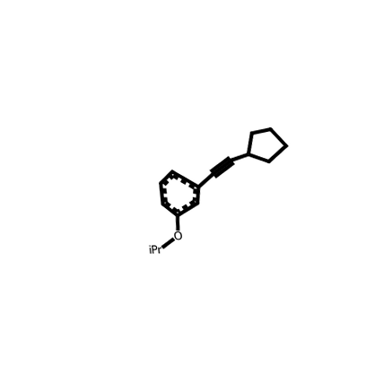 CC(C)Oc1cccc(C#CC2CCCC2)c1